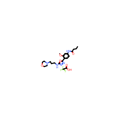 CCCC(=O)Nc1ccc(-c2nnc(NCCCN3CCOCC3)o2)c(OC)c1.O=C(O)C(F)(F)F